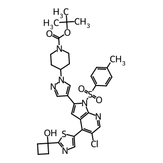 Cc1ccc(S(=O)(=O)n2c(-c3cnn(C4CCN(C(=O)OC(C)(C)C)CC4)c3)cc3c(-c4cnc(C5(O)CCC5)s4)c(Cl)cnc32)cc1